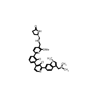 COc1nc(-c2cccc(-c3ccnc(-c4ccc5c(CN(C)C)cn(C)c5c4)c3Cl)c2Cl)ccc1CNC[C@H]1CCC(=O)N1